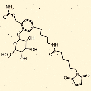 NC(=O)OCc1ccc(CCCCNC(=O)CCCCCN2C(=O)C=CC2=O)cc1O[C@@H]1O[C@H](C(=O)O)[C@@H](O)[C@H](O)[C@H]1O